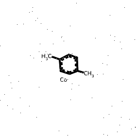 Cc1ccc(C)cc1.[Co]